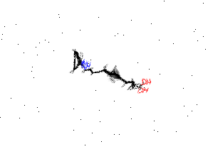 O[SiH](O)CCCCCCCCCNC1CC1